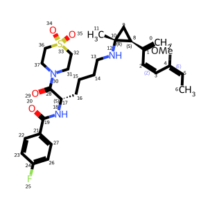 C=C(/C=C\C(=C/C)OC)[C@@H]1C[C@@]1(C)NCCCC[C@H](NC(=O)c1ccc(F)cc1)C(=O)N1CCS(=O)(=O)CC1